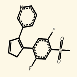 CS(=O)(=O)c1cc(F)c(C2=C(c3cccnc3)C=CC2)cc1F